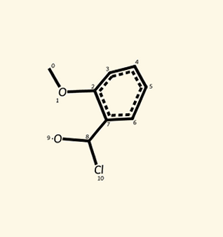 COc1ccccc1C([O])Cl